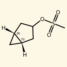 CS(=O)(=O)OC1C[C@@H]2C[C@@H]2C1